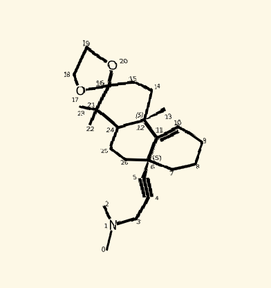 CN(C)CC#C[C@]12CCCC=C1[C@@]1(C)CCC3(OCCO3)C(C)(C)C1CC2